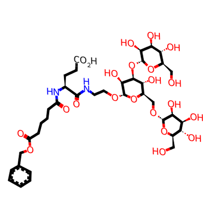 O=C(O)CC[C@H](NC(=O)CCCCC(=O)OCc1ccccc1)C(=O)NCCO[C@H]1O[C@H](CO[C@H]2O[C@H](CO)[C@@H](O)[C@H](O)[C@@H]2O)[C@@H](O)[C@H](O[C@H]2O[C@H](CO)[C@@H](O)[C@H](O)[C@@H]2O)[C@@H]1O